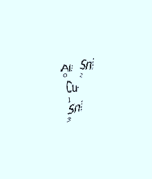 [Al].[Cu].[Sn].[Sn]